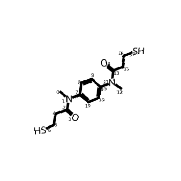 CN(C(=O)CCS)c1ccc(N(C)C(=O)CCS)cc1